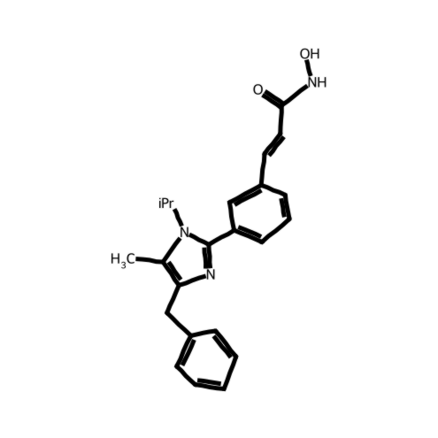 Cc1c(Cc2ccccc2)nc(-c2cccc(/C=C/C(=O)NO)c2)n1C(C)C